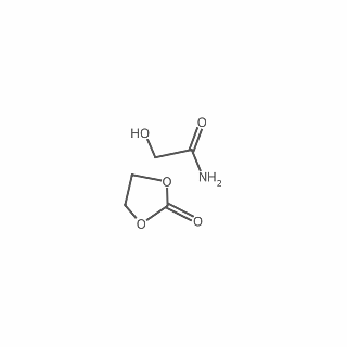 NC(=O)CO.O=C1OCCO1